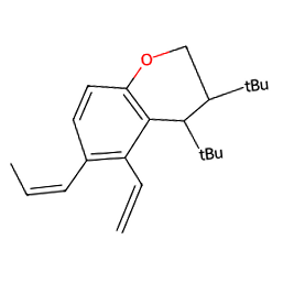 C=Cc1c(/C=C\C)ccc2c1C(C(C)(C)C)C(C(C)(C)C)CO2